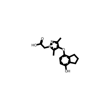 Cc1nn(CC(=O)O)c(C)c1Oc1ccc(O)c2c1CCC2